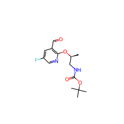 C[C@@H](CNC(=O)OC(C)(C)C)Oc1ncc(F)cc1C=O